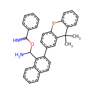 CC1(C)c2ccccc2Sc2ccc(-c3ccc4ccccc4c3C(N)OC(=N)c3ccccc3)cc21